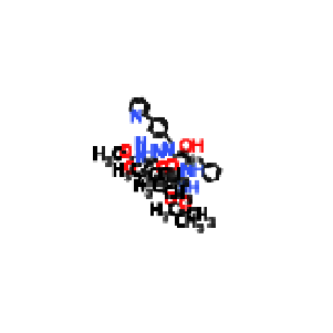 COC(=O)N[C@H](C(=O)NN(Cc1ccc(-c2ccccn2)cc1)C[C@H](O)[C@H](Cc1ccccc1)NC(=O)[C@@H](NC(=O)OC(C)(C)C)C(C)(C)C)C(C)(C)C